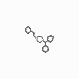 C(=CN1CCN(C(c2ccccc2)c2ccccc2)CC1)c1ccccc1